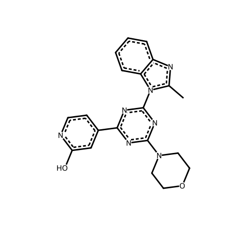 Cc1nc2ccccc2n1-c1nc(-c2ccnc(O)c2)nc(N2CCOCC2)n1